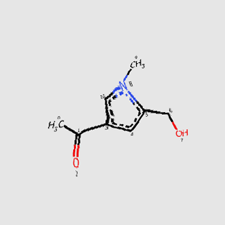 CC(=O)c1cc(CO)n(C)c1